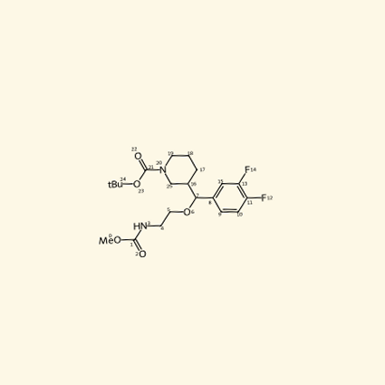 COC(=O)NCCOC(c1ccc(F)c(F)c1)C1CCCN(C(=O)OC(C)(C)C)C1